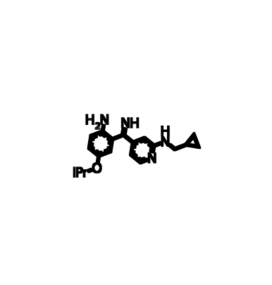 CC(C)Oc1ccc(N)c(C(=N)c2ccnc(NCC3CC3)c2)c1